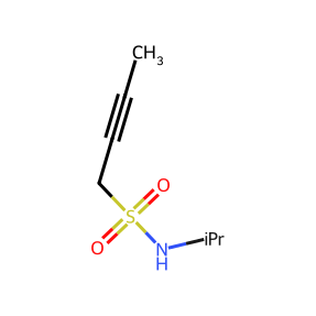 CC#CCS(=O)(=O)NC(C)C